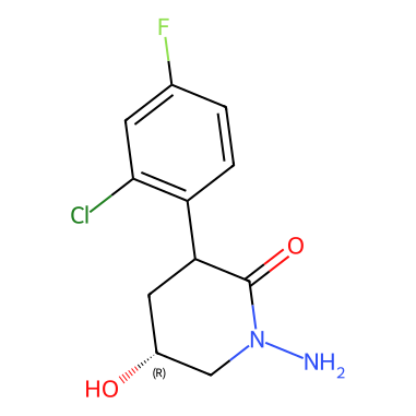 NN1C[C@H](O)CC(c2ccc(F)cc2Cl)C1=O